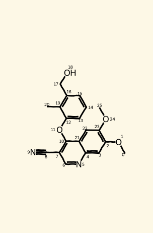 COc1cc2ncc(C#N)c(Oc3cccc(CO)c3C)c2cc1OC